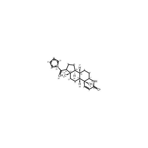 C[C@]12C=CC(=O)NC1CC[C@@H]1[C@H]2CC[C@]2(C)C(C(=O)n3cccc3)CC[C@@H]12